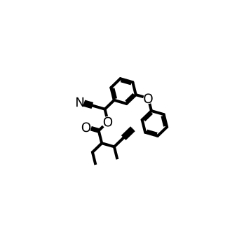 C#CC(C)C(CC)C(=O)OC(C#N)c1cccc(Oc2ccccc2)c1